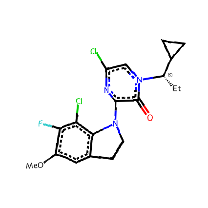 CC[C@@H](C1CC1)n1cc(Cl)nc(N2CCc3cc(OC)c(F)c(Cl)c32)c1=O